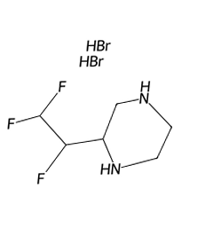 Br.Br.FC(F)C(F)C1CNCCN1